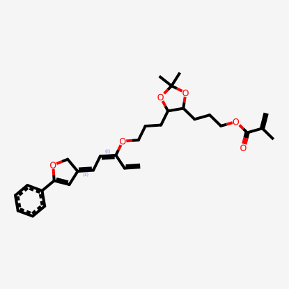 C=C/C(=C\C=C1\C=C(c2ccccc2)OC1)OCCCC1OC(C)(C)OC1CCCOC(=O)C(=C)C